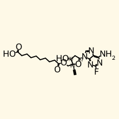 C#C[C@]1(COC(=O)CCCCCCCCC(=O)O)O[C@@H](n2cnc3c(N)nc(F)nc32)C[C@@H]1O